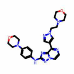 c1cn2nc(Nc3ccc(N4CCOCC4)cc3)nc2c(-c2cnn(CCN3CCOCC3)c2)n1